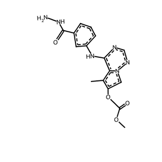 COC(=O)Oc1cn2ncnc(Nc3cccc(C(=O)NN)c3)c2c1C